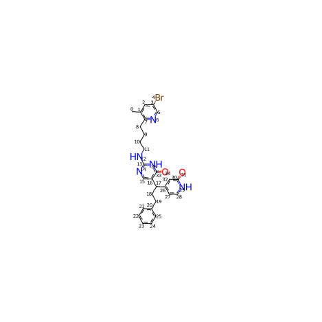 Cc1cc(Br)cnc1CCCCNc1ncc(C(CCc2ccccc2)c2cc[nH]c(=O)c2)c(=O)[nH]1